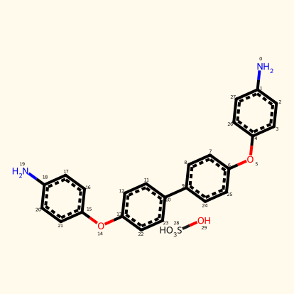 Nc1ccc(Oc2ccc(-c3ccc(Oc4ccc(N)cc4)cc3)cc2)cc1.O=S(=O)(O)O